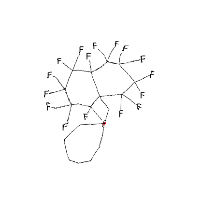 FC1(F)C(F)(F)C(F)(F)C2(CC3CCCCC3)C(F)(F)C(F)(F)C(F)(F)C(F)(F)C2(F)C1(F)F